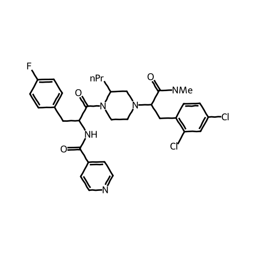 CCCC1CN(C(Cc2ccc(Cl)cc2Cl)C(=O)NC)CCN1C(=O)C(Cc1ccc(F)cc1)NC(=O)c1ccncc1